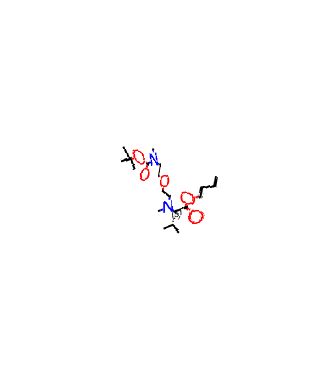 CCCCOC(=O)[C@H](C(C)C)N(C)CCOCCN(C)C(=O)OC(C)(C)C